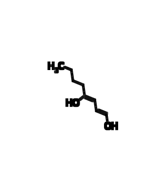 CCCCC(O)=CC=CO